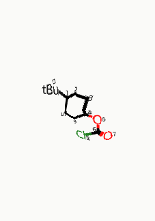 CC(C)(C)C1CCC(OC(=O)Cl)CC1